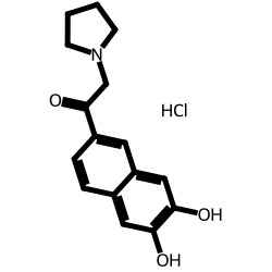 Cl.O=C(CN1CCCC1)c1ccc2cc(O)c(O)cc2c1